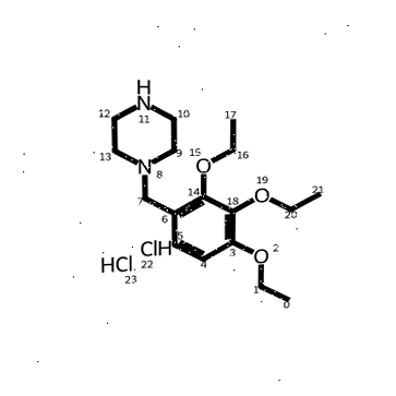 CCOc1ccc(CN2CCNCC2)c(OCC)c1OCC.Cl.Cl